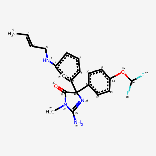 C/C=C/CNc1cccc(C2(c3ccc(OC(F)F)cc3)N=C(N)N(C)C2=O)c1